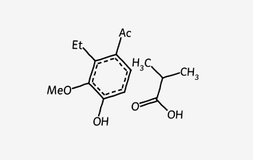 CC(C)C(=O)O.CCc1c(C(C)=O)ccc(O)c1OC